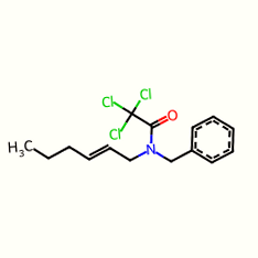 CCC/C=C/CN(Cc1ccccc1)C(=O)C(Cl)(Cl)Cl